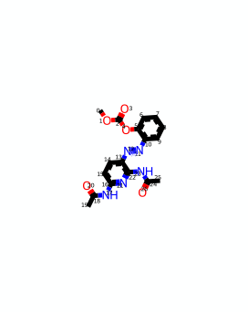 COC(=O)Oc1ccccc1/N=N/c1ccc(NC(C)=O)nc1NC(C)=O